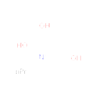 CCC[N+](O)(CO)CO